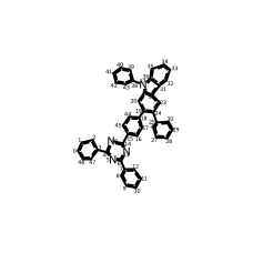 c1ccc(-c2nc(-c3ccccc3)nc(-c3ccc(-c4cc5c(cc4-c4ccccc4)c4ccccc4n5-c4ccccc4)cc3)n2)cc1